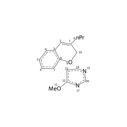 CCCC1=Cc2ccccc2OC1.COc1ccncn1